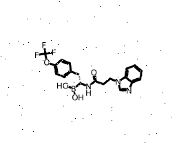 O=C(CCn1cnc2ccccc21)N[C@@H](Cc1ccc(OC(F)(F)F)cc1)B(O)O